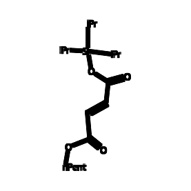 CCCCCOC(=O)C=CC(=O)O[Si](C(C)C)(C(C)C)C(C)C